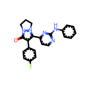 O=c1c(-c2ccc(F)cc2)c(-c2ccnc(Nc3ccccc3)n2)n2n1CCC2